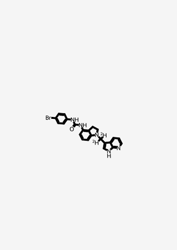 [2H]C([2H])(c1c[nH]c2ncccc12)N1CCc2c(NC(=O)Nc3ccc(Br)cc3)cccc21